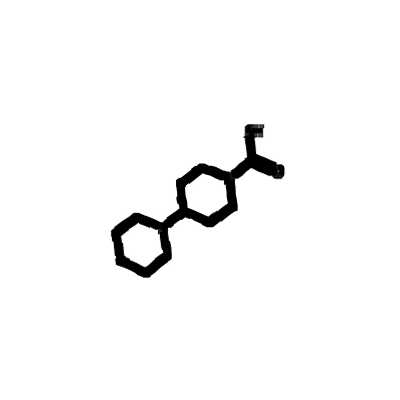 O=C(S)N1CCC(N2CCCCC2)CC1